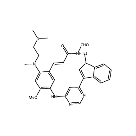 CCn1cc(-c2cc(Nc3cc(C=CC(=O)NC=O)c(N(C)CCN(C)C)cc3OC)ncn2)c2ccccc21